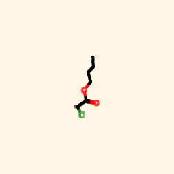 CCCCOC(=O)[C]Cl